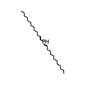 CCCCCCCCCCCC=CPC=CCCCCCCCCCCC